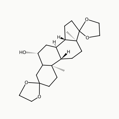 C[C@]12CCC3(CC1[C@H](O)C[C@@H]1[C@@H]2CC[C@@]2(C)[C@H]1CCC21OCCO1)OCCO3